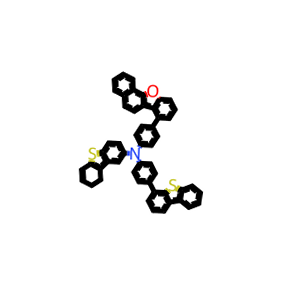 C1=Cc2sc3ccc(N(c4ccc(-c5cccc6c5sc5ccccc56)cc4)c4ccc(-c5cccc6oc7c8ccccc8ccc7c56)cc4)cc3c2CC1